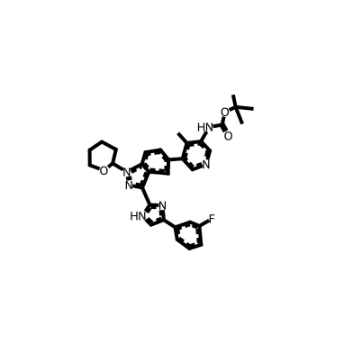 Cc1c(NC(=O)OC(C)(C)C)cncc1-c1ccc2c(c1)c(-c1nc(-c3cccc(F)c3)c[nH]1)nn2C1CCCCO1